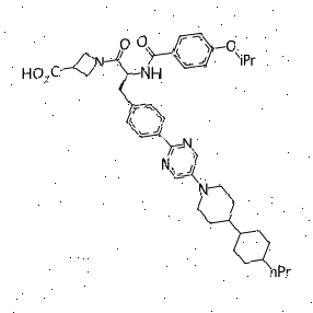 CCCC1CCC(C2CCN(c3cnc(-c4ccc(C[C@H](NC(=O)c5ccc(OC(C)C)cc5)C(=O)N5CC(C(=O)O)C5)cc4)nc3)CC2)CC1